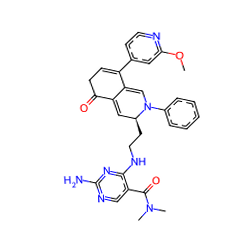 COc1cc(C2=CCC(=O)C3=C[C@H](CCNc4nc(N)ncc4C(=O)N(C)C)N(c4ccccc4)C=C32)ccn1